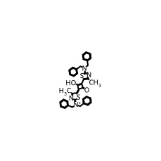 CC1=NC(=[N+](Cc2ccccc2)Cc2ccccc2)S/C1=C1\C(=O)C(c2sc(N(Cc3ccccc3)Cc3ccccc3)nc2C)=C1O